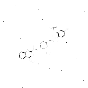 CNc1nc(NC[C@H]2CC[C@H](CNS(=O)(=O)c3ccc(Br)cc3OC(F)(F)F)CC2)nc2ccccc12.Cl